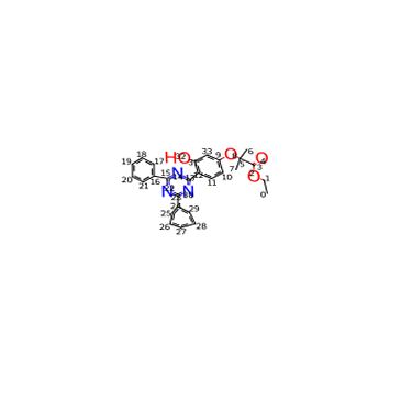 CCOC(=O)C(C)(C)Oc1ccc(-c2nc(-c3ccccc3)nc(-c3ccccc3)n2)c(O)c1